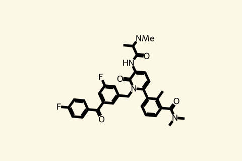 CNC(C)C(=O)Nc1ccc(-c2cccc(C(=O)N(C)C)c2C)n(Cc2cc(F)cc(C(=O)c3ccc(F)cc3)c2)c1=O